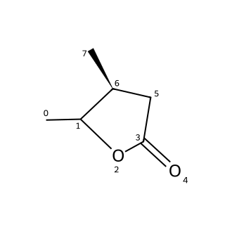 CC1OC(=O)C[C@@H]1C